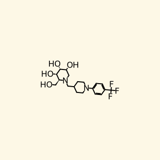 OC[C@H]1[C@@H](O)[C@H](O)[C@@H](O)CN1CC1CCN(c2ccc(C(F)(F)F)cc2)CC1